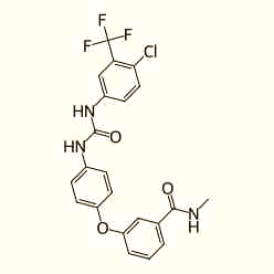 CNC(=O)c1cccc(Oc2ccc(NC(=O)Nc3ccc(Cl)c(C(F)(F)F)c3)cc2)c1